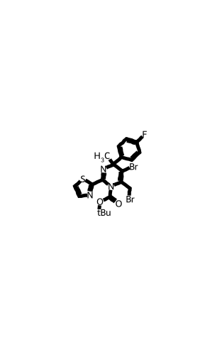 CC(C)(C)OC(=O)N1C(c2nccs2)=NC(C)(c2ccc(F)cc2)C(Br)=C1CBr